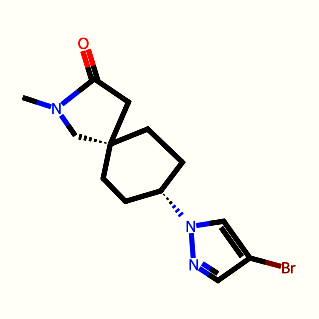 CN1C[C@]2(CC[C@@H](n3cc(Br)cn3)CC2)CC1=O